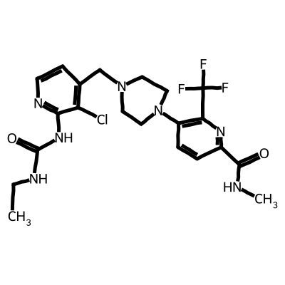 CCNC(=O)Nc1nccc(CN2CCN(c3ccc(C(=O)NC)nc3C(F)(F)F)CC2)c1Cl